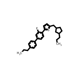 CCCc1ccc(-c2ccc(-c3ccc(CC4CCC(CCC)C4)s3)c(F)c2)cc1